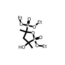 CCOP1(=O)OC(C)(P(=O)(OCC)OCC)CC1(C)O